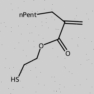 C=C(CCCCCC)C(=O)OCCS